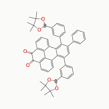 CC1(C)OB(c2cccc(-c3cc(-c4ccccc4)c(-c4cccc(B5OC(C)(C)C(C)(C)O5)c4)c4c5cccc6c(=O)c(=O)c7cccc(c34)c7c65)c2)OC1(C)C